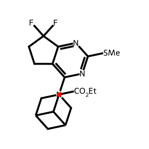 CCOC(=O)CC1C2CC1CN(c1nc(SC)nc3c1CCC3(F)F)C2